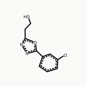 OCCc1nnc(-c2cccc(Cl)c2)o1